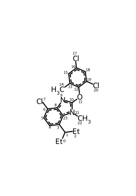 CCC(CC)c1ccc(Cl)c2nc(Oc3c(C)cc(Cl)cc3Cl)n(C)c12